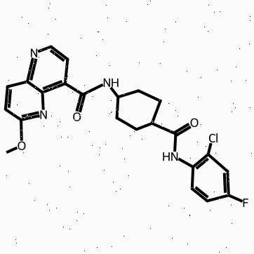 COc1ccc2nccc(C(=O)NC3CCC(C(=O)Nc4ccc(F)cc4Cl)CC3)c2n1